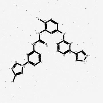 Cc1cn(-c2cccc(NC(=O)Nc3cc(Oc4cccc(-c5cn[nH]c5)n4)ccc3F)c2)cn1